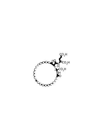 O=C(O)CC[C@H](NC(=O)C1C[C@@H](C(=O)O)NC(=O)CCCCCCCCCCCCCCCCCCCCC1=O)C(=O)O